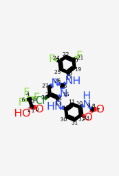 O=C(O)C(F)(F)F.O=c1[nH]c2cc(Nc3nc(Nc4cc(F)cc(F)c4)ncc3Cl)ccc2o1